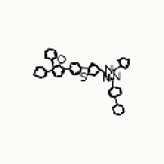 c1ccc(-c2ccc(-c3nc(-c4ccccc4)nc(-c4ccc5c(c4)sc4cc(-c6ccc(-c7ccccc7)c7c6oc6ccccc67)ccc45)n3)cc2)cc1